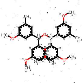 COc1cc(C)cc([SiH](O[SiH](c2cc(C)cc(OC)c2)c2cc(C)cc(OC)c2)c2cc(C)cc(OC)c2)c1